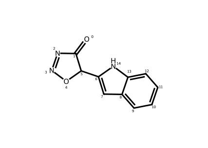 O=C1N=NOC1c1cc2ccccc2[nH]1